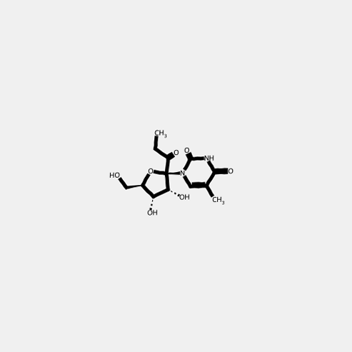 CCC(=O)[C@@]1(n2cc(C)c(=O)[nH]c2=O)O[C@H](CO)[C@@H](O)[C@H]1O